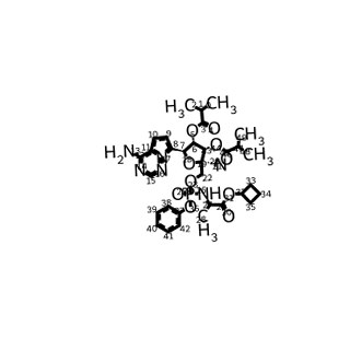 CC(C)C(=O)O[C@H]1[C@H](c2ccc3c(N)ncnn23)O[C@](C#N)(COP(=O)(NC(C)C(=O)OC2CCC2)Oc2ccccc2)[C@H]1OC(=O)C(C)C